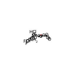 Cl.N[C@@H](CC(=O)N1CCSC1C(=O)NCc1ccc(OCC(=O)N2CCOCC2)cc1)Cc1cc(F)c(F)cc1F